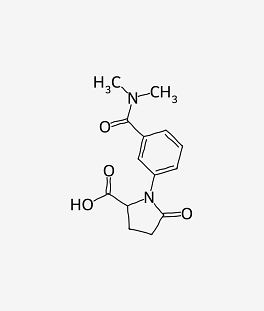 CN(C)C(=O)c1cccc(N2C(=O)CCC2C(=O)O)c1